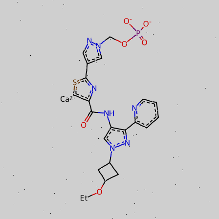 CCOC1CC(n2cc(NC(=O)c3csc(-c4cnn(COP(=O)([O-])[O-])c4)n3)c(-c3ccccn3)n2)C1.[Ca+2]